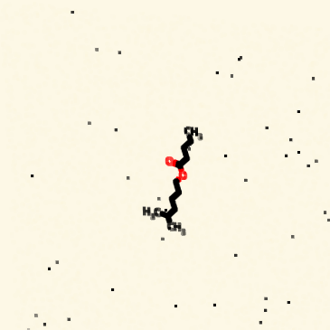 CCCCC(=O)OCCCCC(C)C